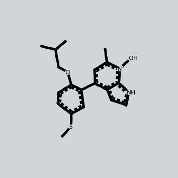 CSc1ccc(OCC(C)C)c(-c2cc(C)[n+](O)c3[nH]ccc23)c1